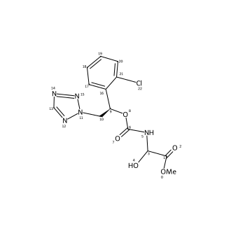 COC(=O)C(O)NC(=O)O[C@@H](Cn1ncnn1)c1ccccc1Cl